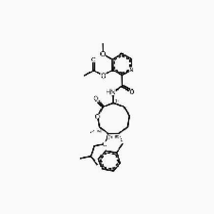 COc1ccnc(C(=O)N[C@H]2CCC[C@H](Cc3ccccc3)[C@@H](OCC(C)C)[C@H](C)OC2=O)c1OC(C)=O